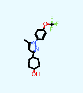 Cc1cc(C2CCC(O)CC2)nn1-c1ccc(OC(F)(F)F)cc1